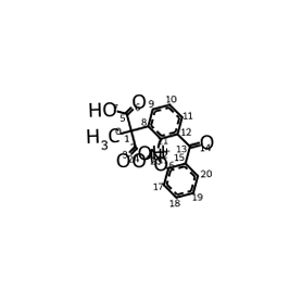 CC(C(=O)O)(C(=O)O)c1cccc(C(=O)c2ccccc2)c1[N+](=O)[O-]